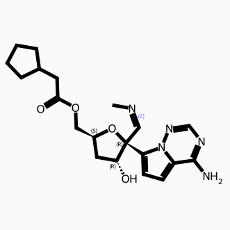 C/N=C\[C@@]1(c2ccc3c(N)ncnn23)O[C@H](COC(=O)CC2CCCC2)C[C@H]1O